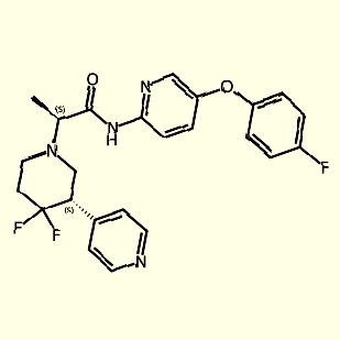 C[C@@H](C(=O)Nc1ccc(Oc2ccc(F)cc2)cn1)N1CCC(F)(F)[C@@H](c2ccncc2)C1